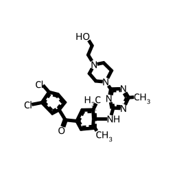 Cc1nc(Nc2c(C)cc(C(=O)c3ccc(Cl)c(Cl)c3)cc2C)nc(N2CCN(CCO)CC2)n1